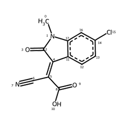 CN1C(=O)C(=C(C#N)C(=O)O)c2ccc(Cl)cc21